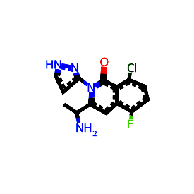 CC(N)c1cc2c(F)ccc(Cl)c2c(=O)n1-c1cc[nH]n1